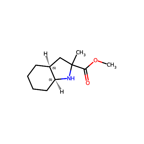 COC(=O)C1(C)C[C@@H]2CCCC[C@@H]2N1